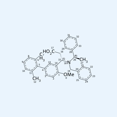 COc1ccc(-c2c(C)cccc2C)cc1[C@H](CC(=O)O)N(Cc1ccccc1)[C@H](C)c1ccccc1